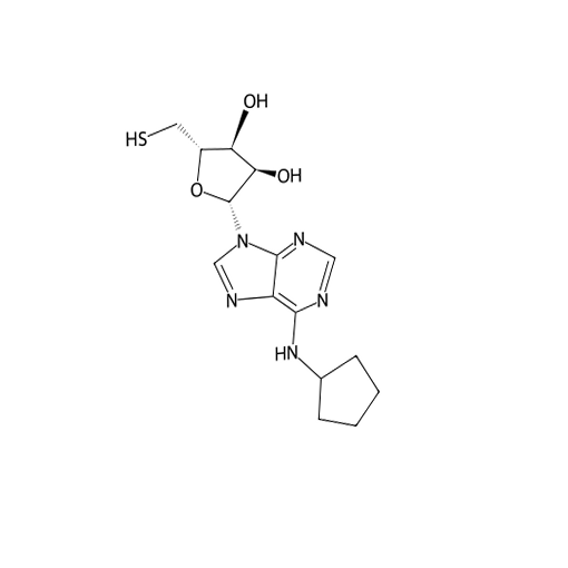 O[C@@H]1[C@H](O)[C@@H](CS)O[C@H]1n1cnc2c(NC3CCCC3)ncnc21